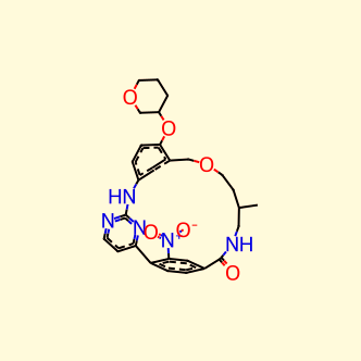 CC1CCOCc2cc(ccc2OC2CCCOC2)Nc2nccc(n2)-c2ccc(cc2[N+](=O)[O-])C(=O)NC1